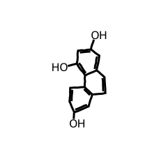 Oc1ccc2c(ccc3cc(O)cc(O)c32)c1